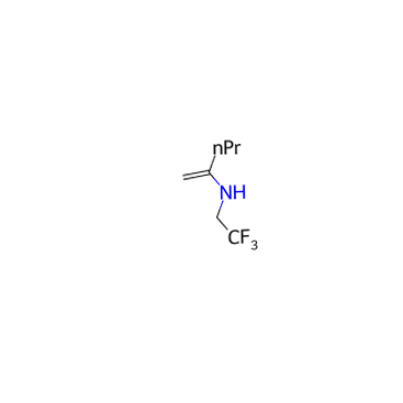 C=C(CCC)NCC(F)(F)F